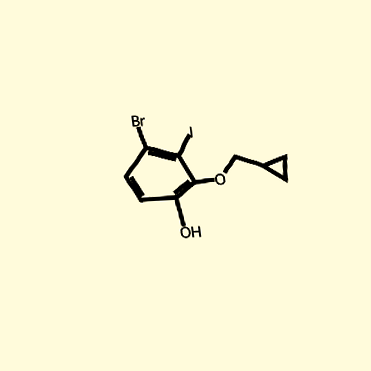 Oc1ccc(Br)c(I)c1OCC1CC1